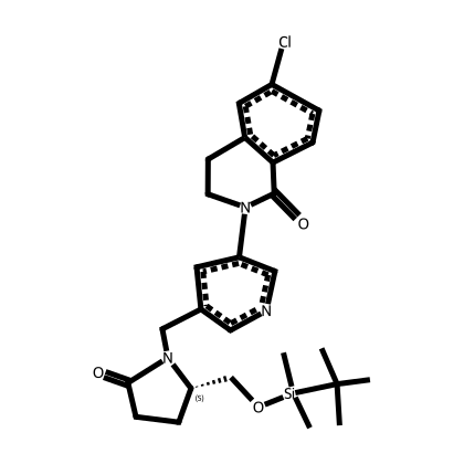 CC(C)(C)[Si](C)(C)OC[C@@H]1CCC(=O)N1Cc1cncc(N2CCc3cc(Cl)ccc3C2=O)c1